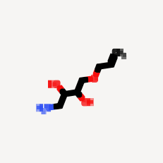 C=CCOCC(O)C(O)CN